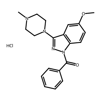 COc1ccc2c(c1)c(N1CCN(C)CC1)nn2C(=O)c1ccccc1.Cl